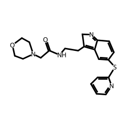 O=C(CN1CCOCC1)NCCC1=c2cc(Sc3ccccn3)ccc2=NC1